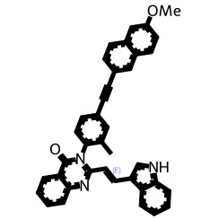 COc1ccc2cc(C#Cc3ccc(-n4c(/C=C/c5c[nH]c6ccccc56)nc5ccccc5c4=O)c(C)c3)ccc2c1